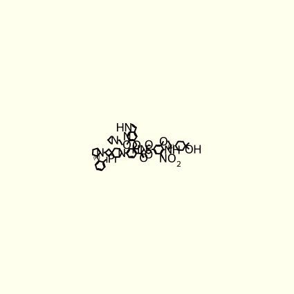 CC(C)c1ccccc1[C@H]1CCCN1C1CC2(CCN(c3ccc(C(=O)NS(=O)(=O)c4cc5c(c([N+](=O)[O-])c4)N[C@@H](C4CCC(C)(O)CC4)CO5)c(Oc4cc5cc[nH]c5nc4OCCN4CCC4)c3)CC2)C1